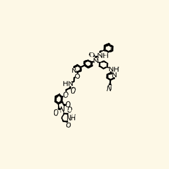 N#Cc1ccc(NC2CCC(N(C(=O)NCc3ccccc3)c3ccc(-c4ccnc(OCCNC(=O)COc5cccc6c5C(=O)N(C5CCC(=O)NC5=O)C6=O)c4)cc3)CC2)nc1